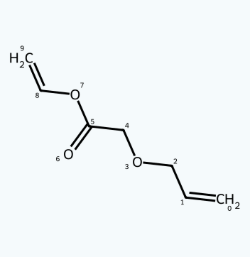 C=CCOCC(=O)OC=C